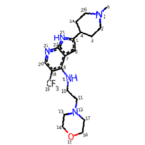 CN1CCC(c2cc3c(NCCN4CCOCC4)c(C(F)(F)F)cnc3[nH]2)CC1